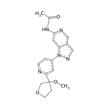 COC1(c2cc(-n3ncc4cnc(NC(C)=O)cc43)ccn2)CCOC1